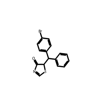 O=C1N=[C]SC1C(c1ccccc1)c1ccc(Br)cc1